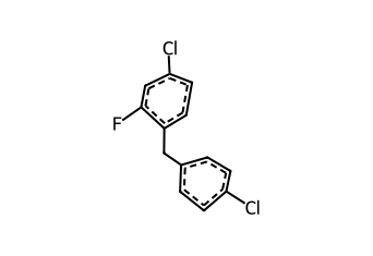 Fc1cc(Cl)ccc1Cc1ccc(Cl)cc1